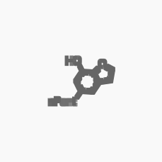 CCCCCc1cc(O)c2occc2c1